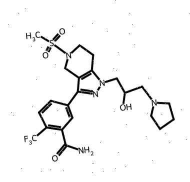 CS(=O)(=O)N1CCc2c(c(-c3ccc(C(F)(F)F)c(C(N)=O)c3)nn2CC(O)CN2CCCC2)C1